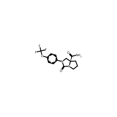 NC(=O)[C@@]12C[CH]CN1C(=O)N(c1ccc(OC(F)(F)F)cc1)C2